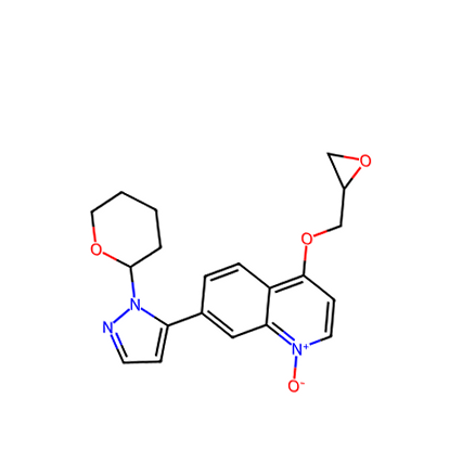 [O-][n+]1ccc(OCC2CO2)c2ccc(-c3ccnn3C3CCCCO3)cc21